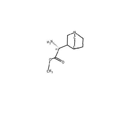 COC(=O)[C@H](N)C1CN2CCC1CC2